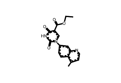 CCOC(=O)c1cn(-c2ccc3c(C)ccnc3c2)c(=O)[nH]c1=O